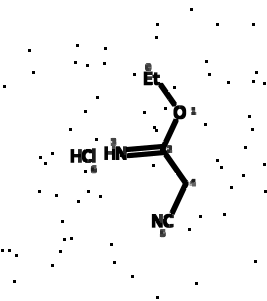 CCOC(=N)CC#N.Cl